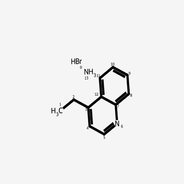 Br.CCc1ccnc2ccccc12.N